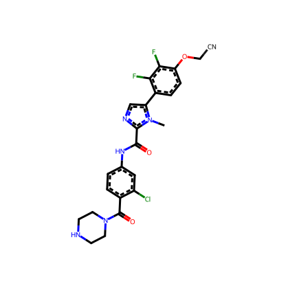 Cn1c(-c2ccc(OCC#N)c(F)c2F)cnc1C(=O)Nc1ccc(C(=O)N2CCNCC2)c(Cl)c1